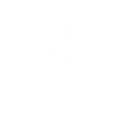 COC(=O)[C@H]1CCN(c2cc(OC)cc(F)n2)C1